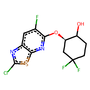 OC1CCC(F)(F)C[C@H]1Oc1nc2sc(Cl)nc2cc1F